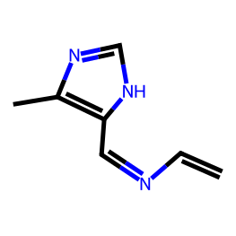 C=C/N=C\c1[nH]cnc1C